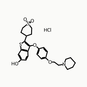 Cl.O=S1(=O)CCC(c2sc3cc(O)ccc3c2Oc2ccc(OCCN3CCCCC3)cc2)CC1